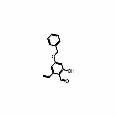 C=Cc1cc(OCc2ccccc2)cc(O)c1C=O